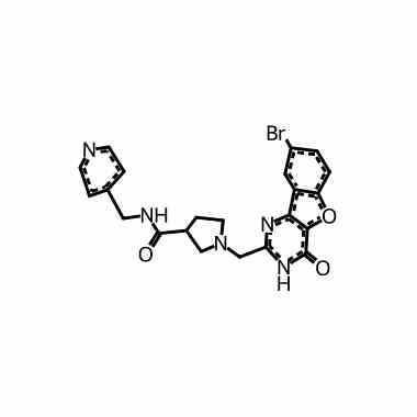 O=C(NCc1ccncc1)C1CCN(Cc2nc3c(oc4ccc(Br)cc43)c(=O)[nH]2)C1